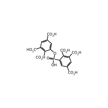 O=C(O)c1cc(OP(=O)(O)c2cc(C(=O)O)cc(C(=O)O)c2C(=O)O)c(C(=O)O)c(C(=O)O)c1